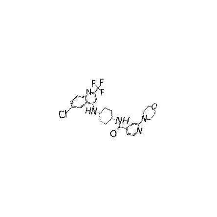 O=C(N[C@H]1CC[C@@H](Nc2cc(C(F)(F)F)nc3ccc(Cl)cc23)CC1)c1ccnc(N2CCOCC2)c1